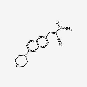 N#C/C(=C\c1ccc2cc(N3CCOCC3)ccc2c1)[S+](N)[O-]